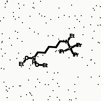 CCO[SiH](CCCCCN(CC)[Si](C(C)C)(C(C)C)C(C)C)OCC